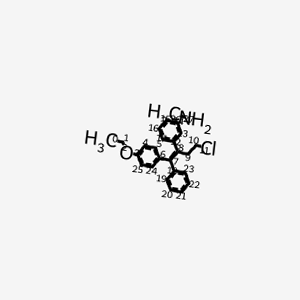 CCOc1ccc(C(=C(CCCl)c2ccccc2)c2ccccc2)cc1.CN